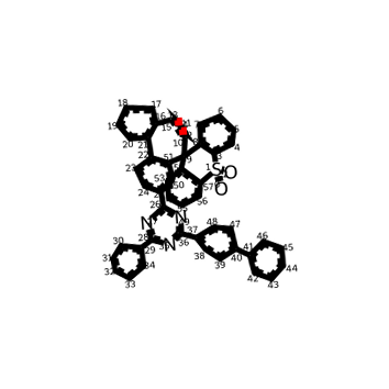 O=S1(=O)c2ccccc2C2(c3ccccc3-c3ccccc3-c3ccc(-c4nc(-c5ccccc5)nc(-c5ccc(-c6ccccc6)cc5)n4)cc32)c2ccccc21